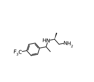 CC(N[C@@H](C)CN)c1ccc(C(F)(F)F)cc1